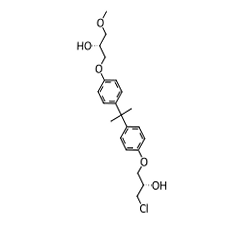 COC[C@@H](O)COc1ccc(C(C)(C)c2ccc(OC[C@H](O)CCl)cc2)cc1